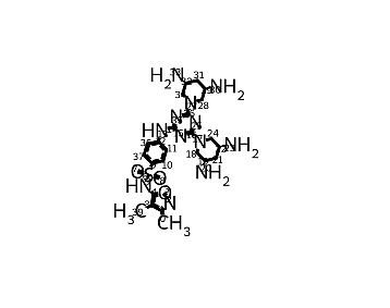 Cc1noc(NS(=O)(=O)c2ccc(Nc3nc(N4C[C@H](N)C[C@H](N)C4)nc(N4C[C@H](N)C[C@H](N)C4)n3)cc2)c1C